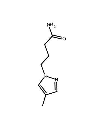 Cc1cnn(CCCC(N)=O)c1